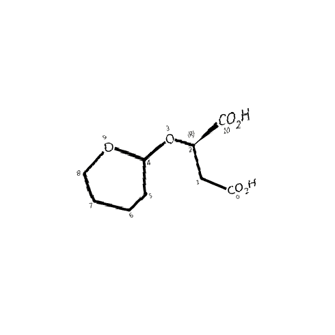 O=C(O)C[C@@H](OC1CCCCO1)C(=O)O